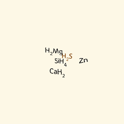 S.[CaH2].[MgH2].[SiH4].[Zn]